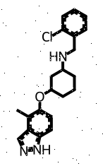 Cc1c(OC2CCCC(NCc3ccccc3Cl)C2)ccc2[nH]ncc12